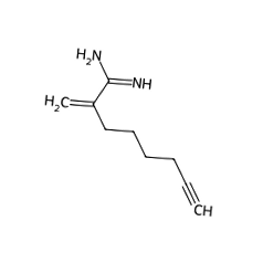 C#CCCCCC(=C)C(=N)N